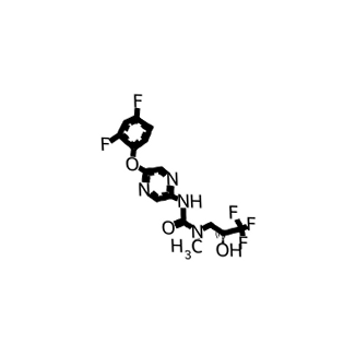 CN(C[C@@H](O)C(F)(F)F)C(=O)Nc1cnc(Oc2ccc(F)cc2F)cn1